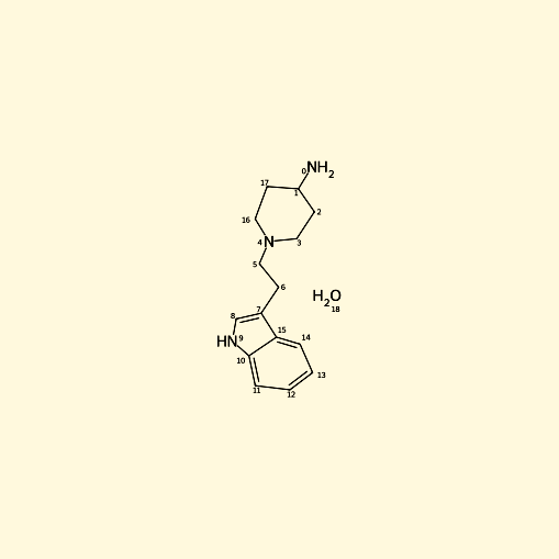 NC1CCN(CCc2c[nH]c3ccccc23)CC1.O